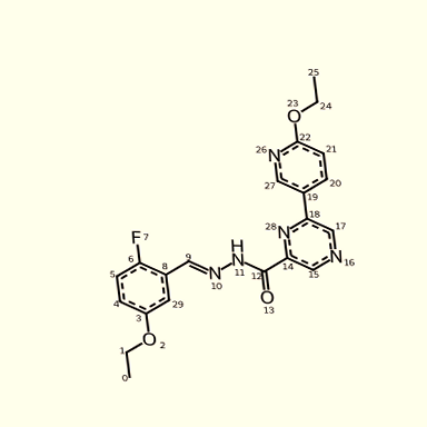 CCOc1ccc(F)c(/C=N/NC(=O)c2cncc(-c3ccc(OCC)nc3)n2)c1